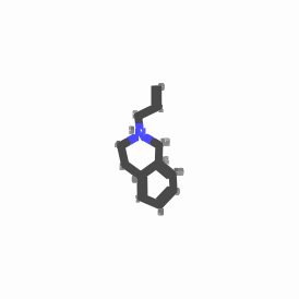 C=CCN1CCc2ccccc2C1